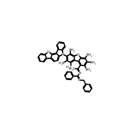 Bc1c(B)c(/C(C)=N/C(=N\Cc2ccccc2)c2ccccc2)c2c(oc3c(B)c(-n4c5ccccc5c5c6oc7ccccc7c6ccc54)c(B)c(C)c32)c1B